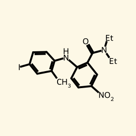 CCN(CC)C(=O)c1cc([N+](=O)[O-])ccc1Nc1ccc(I)cc1C